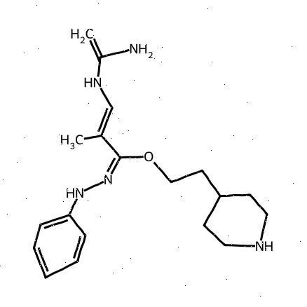 C=C(N)N/C=C(C)/C(=N\Nc1ccccc1)OCCC1CCNCC1